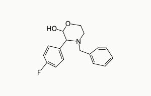 OC1OCCN(Cc2ccccc2)C1c1ccc(F)cc1